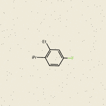 CCc1cc(F)ccc1C(C)C